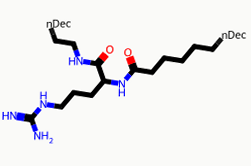 CCCCCCCCCCCCCCCC(=O)NC(CCCNC(=N)N)C(=O)NCCCCCCCCCCCC